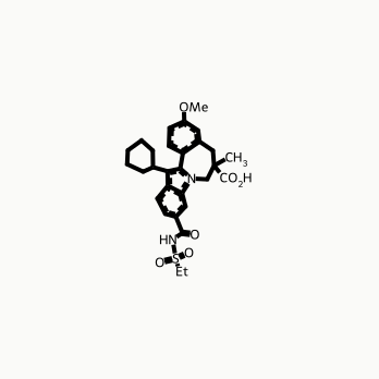 CCS(=O)(=O)NC(=O)c1ccc2c(C3CCCCC3)c3n(c2c1)CC(C)(C(=O)O)Cc1cc(OC)ccc1-3